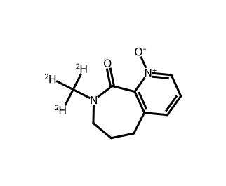 [2H]C([2H])([2H])N1CCCc2ccc[n+]([O-])c2C1=O